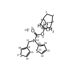 C[N+]1(C)C2CCC1CC(OC(=O)N(Cc1ccsc1)c1cccs1)C2.[I-]